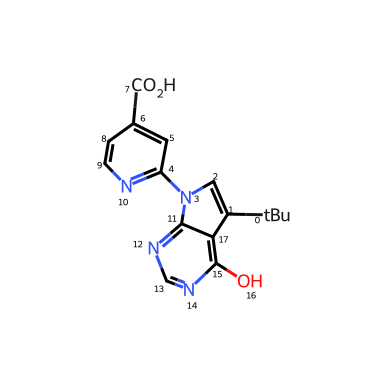 CC(C)(C)c1cn(-c2cc(C(=O)O)ccn2)c2ncnc(O)c12